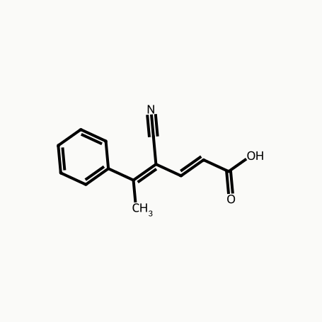 CC(=C(C#N)C=CC(=O)O)c1ccccc1